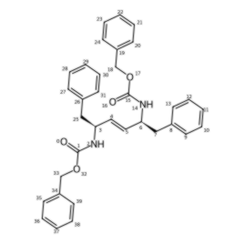 O=C(N[C@H](/C=C/[C@H](Cc1ccccc1)NC(=O)OCc1ccccc1)Cc1ccccc1)OCc1ccccc1